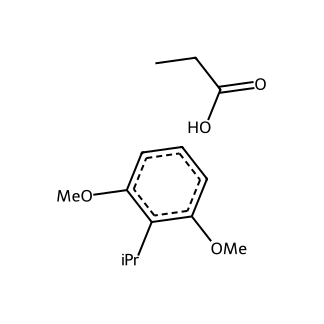 CCC(=O)O.COc1cccc(OC)c1C(C)C